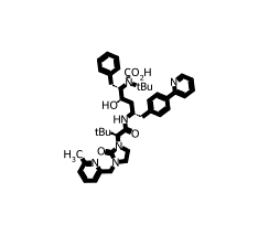 Cc1cccc(CN2CCN([C@H](C(=O)N[C@@H](Cc3ccc(-c4ccccn4)cc3)C[C@H](O)[C@H](Cc3ccccc3)N(C(=O)O)C(C)(C)C)C(C)(C)C)C2=O)n1